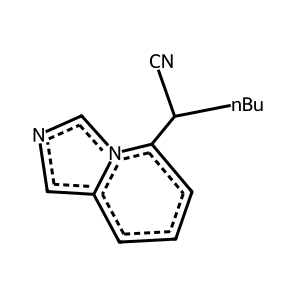 CCCCC(C#N)c1cccc2cncn12